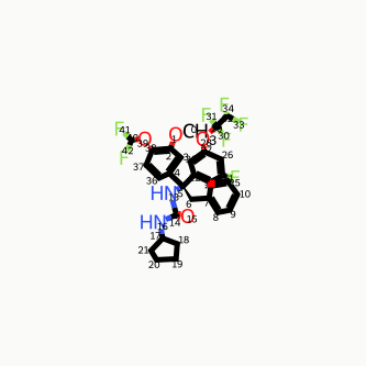 COc1cc([C@@](Cc2ccccc2)(NC(=O)NC2CCCC2)c2cc(F)cc(OC(F)(F)C(F)F)c2)ccc1OC(F)F